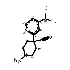 [CH2]N1CCC(C#N)(c2cc(C(F)F)ccn2)CC1